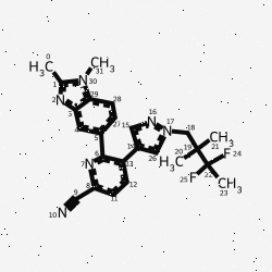 Cc1nc2cc(-c3nc(C#N)ccc3-c3cnn(CC(C)(C)C(C)(F)F)c3)ccc2n1C